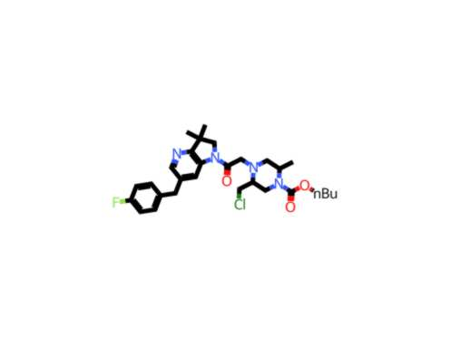 CCCCOC(=O)N1CC(CCl)N(CC(=O)N2CC(C)(C)c3ncc(Cc4ccc(F)cc4)cc32)CC1C